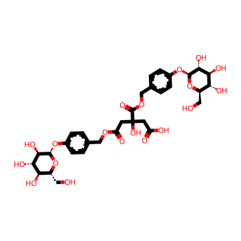 O=C(O)CC(O)(CC(=O)OCc1ccc(O[C@@H]2O[C@H](CO)[C@@H](O)[C@H](O)[C@H]2O)cc1)C(=O)OCc1ccc(O[C@@H]2O[C@H](CO)[C@@H](O)[C@H](O)[C@H]2O)cc1